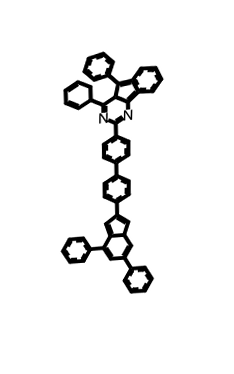 C1=CCC(C2=NC(c3ccc(-c4ccc(C5=CC6C=C(c7ccccc7)C=C(c7ccccc7)C6=C5)cc4)cc3)=NC3=c4ccccc4=C(c4ccccc4)C23)C=C1